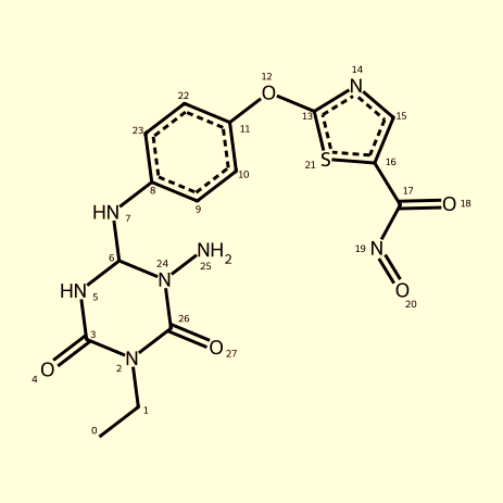 CCN1C(=O)NC(Nc2ccc(Oc3ncc(C(=O)N=O)s3)cc2)N(N)C1=O